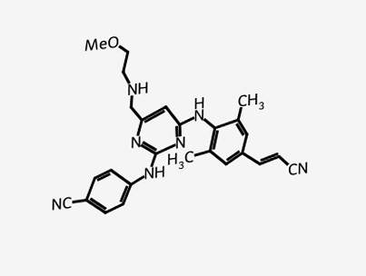 COCCNCc1cc(Nc2c(C)cc(/C=C/C#N)cc2C)nc(Nc2ccc(C#N)cc2)n1